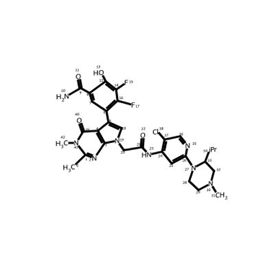 Cc1nc2c(c(-c3cc(C(N)=O)c(O)c(F)c3F)cn2CC(=O)Nc2cc(N3CCN(C)CC3C(C)C)ncc2Cl)c(=O)n1C